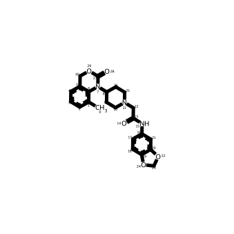 Cc1cccc2c1N(C1CCN(CC(=O)Nc3ccc4c(c3)OCO4)CC1)C(=O)OC2